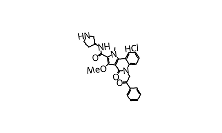 COc1c(C(=O)NC2CCNC2)n(C)c2c1c(=O)n(CC(=O)c1ccccc1)c1ccccc21.Cl